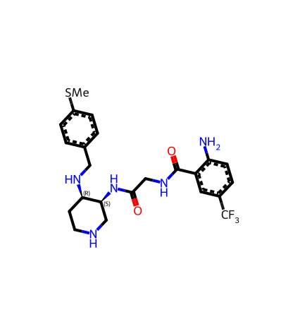 CSc1ccc(CN[C@@H]2CCNC[C@@H]2NC(=O)CNC(=O)c2cc(C(F)(F)F)ccc2N)cc1